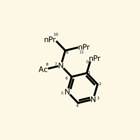 CCCc1cncnc1N(C(C)=O)C(CCC)CCC